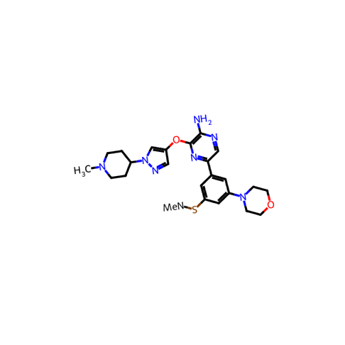 CNSc1cc(-c2cnc(N)c(Oc3cnn(C4CCN(C)CC4)c3)n2)cc(N2CCOCC2)c1